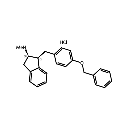 CN[C@@H]1Cc2ccccc2[C@@H]1Cc1ccc(OCc2ccccc2)cc1.Cl